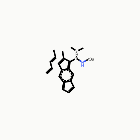 C=C/C=C/C.CC1=Cc2cc3c(cc2=[C]1[Ti]([NH]C(C)(C)C)[SiH](C)C)C=CC=3